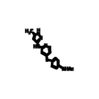 CC(=O)Nc1ccc(Sc2cnnc(Nc3cc(C)[nH]n3)c2)cc1